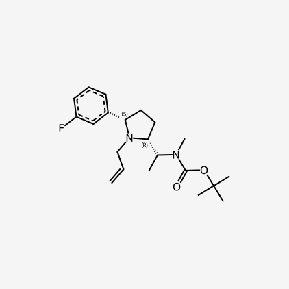 C=CCN1[C@@H](C(C)N(C)C(=O)OC(C)(C)C)CC[C@H]1c1cccc(F)c1